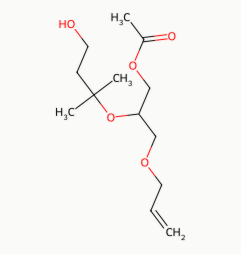 C=CCOCC(COC(C)=O)OC(C)(C)CCO